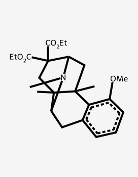 CCOC(=O)C1(C(=O)OCC)CC2(C)C3Cc4cccc(OC)c4C2(C)CC1N3C